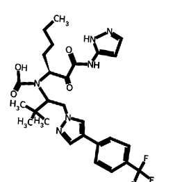 CCCC[C@@H](C(=O)C(=O)Nc1ccn[nH]1)N(C(=O)O)C(Cn1cc(-c2ccc(C(F)(F)F)cc2)cn1)C(C)(C)C